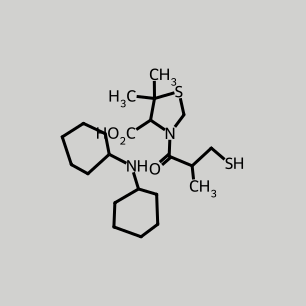 C1CCC(NC2CCCCC2)CC1.CC(CS)C(=O)N1CSC(C)(C)C1C(=O)O